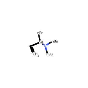 C=C[SiH](CCC)N(CCCC)CCCC